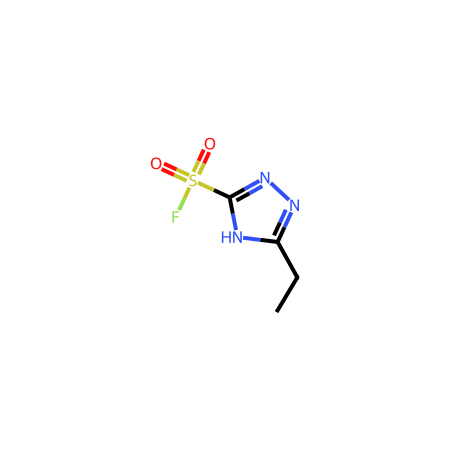 CCc1nnc(S(=O)(=O)F)[nH]1